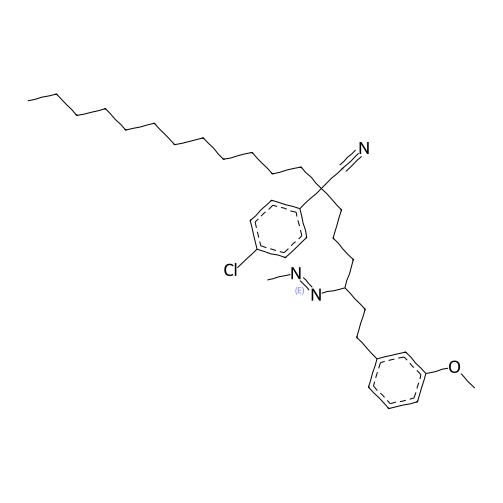 CCCCCCCCCCCCC(C#N)(CCCC(CCc1cccc(OC)c1)/N=N/C)c1ccc(Cl)cc1